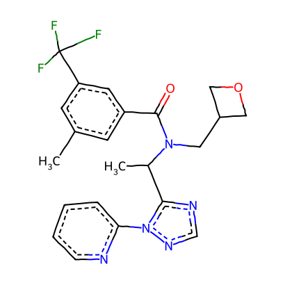 Cc1cc(C(=O)N(CC2COC2)C(C)c2ncnn2-c2ccccn2)cc(C(F)(F)F)c1